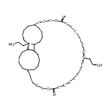 O=C1CCCCCCCN(CCO)CCCCCCCC(=O)OCCCC2CCCCC3C4CCCCC(CCCCC4C3(CCO)CCCC2)CCCO1